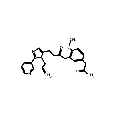 C=CCC1C(CCC(=O)Cc2cc(CC(C)=O)ccc2OC)=CN=C1c1cccnc1